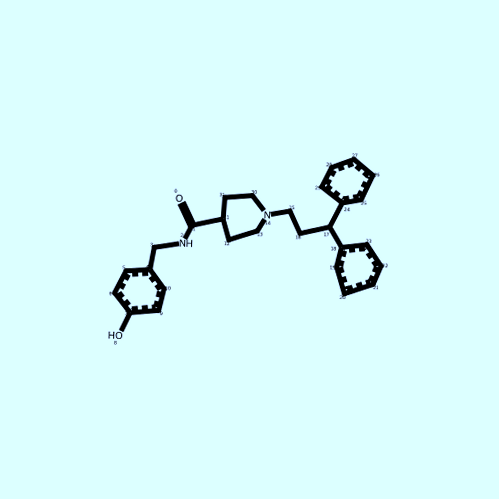 O=C(NCc1ccc(O)cc1)C1CCN(CCC(c2ccccc2)c2ccccc2)CC1